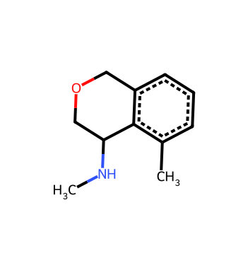 CNC1COCc2cccc(C)c21